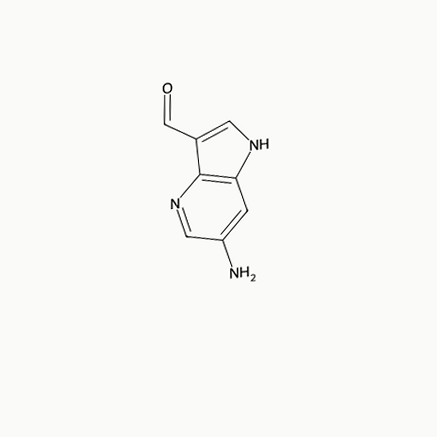 Nc1cnc2c(C=O)c[nH]c2c1